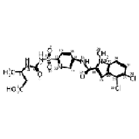 CC(CC(=O)O)NC(=O)NS(=O)(=O)c1ccc(NC(=O)c2cc3c(Cl)c(Cl)ccc3n2C)cn1